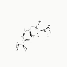 CC[C@@H]1Cc2ncc(C(=O)NO)cc2CN1C1COC1